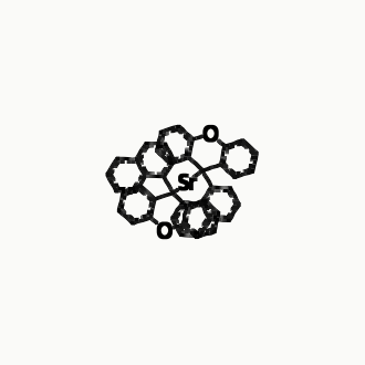 c1ccc2c(c1)Oc1ccccc1[C]2([Sr][C]1(c2cccc3ccccc23)c2ccccc2Oc2ccccc21)c1cccc2ccccc12